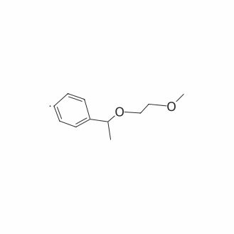 COCCOC(C)c1cc[c]cc1